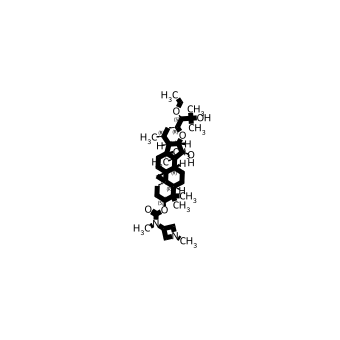 CCO[C@@H]([C@H]1C[C@@H](C)[C@H]2[C@H](O1)[C@H](O)[C@@]1(C)[C@@H]3CC[C@H]4C(C)(C)[C@@H](OC(=O)N(C)C5CN(C)C5)CC[C@@]45C[C@@]35CC[C@]21C)C(C)(C)O